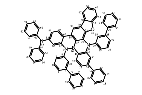 c1ccc(-c2cccc(N3B4c5ccc(-c6ccccc6)cc5N(c5cccc(-c6ccccc6)c5)c5c4c(cc4c5oc5ccccc54)-c4ccc(N(c5ccccc5)c5ccccc5)cc43)c2)cc1